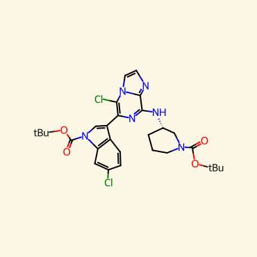 CC(C)(C)OC(=O)N1CCC[C@H](Nc2nc(-c3cn(C(=O)OC(C)(C)C)c4cc(Cl)ccc34)c(Cl)n3ccnc23)C1